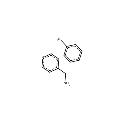 CCCc1ccccc1.NCc1ccncc1